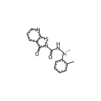 Cc1ccccc1[C@@H](C)NC(=O)n1sc2ncccc2c1=O